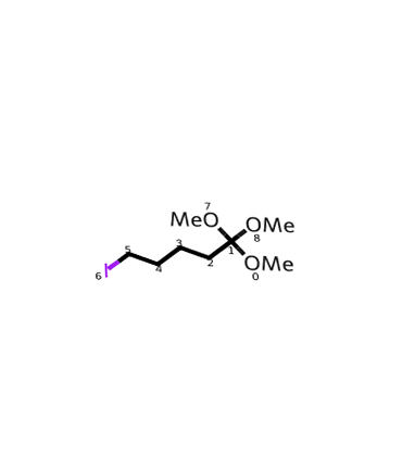 COC(CCCCI)(OC)OC